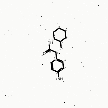 Nc1ccc([C@@H](CC2CCCCC2)C(=O)O)cc1